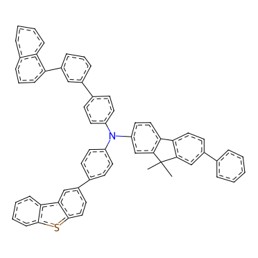 CC1(C)c2cc(-c3ccccc3)ccc2-c2ccc(N(c3ccc(-c4cccc(-c5cccc6ccccc56)c4)cc3)c3ccc(-c4ccc5sc6ccccc6c5c4)cc3)cc21